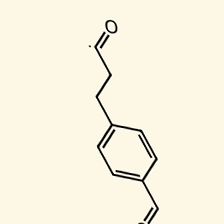 O=[C]CCc1ccc(C=S)cc1